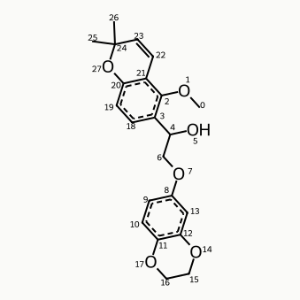 COc1c(C(O)COc2ccc3c(c2)OCCO3)ccc2c1C=CC(C)(C)O2